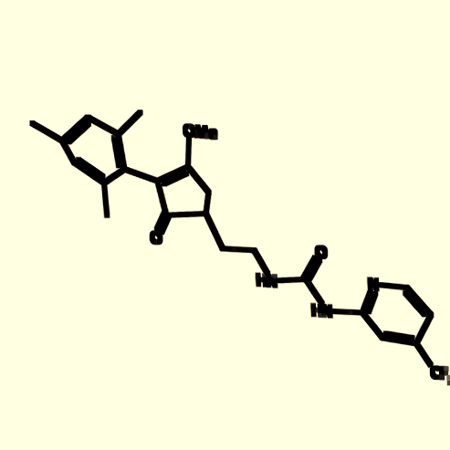 COC1=C(c2c(C)cc(C)cc2C)C(=O)C(CCNC(=O)Nc2cc(C(F)(F)F)ccn2)C1